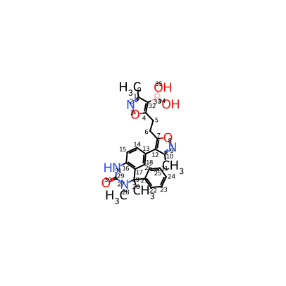 Cc1noc(CCc2onc(C)c2-c2ccc3c(c2)C(C)(c2ccccc2)N(C)C(=O)N3)c1B(O)O